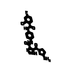 NC1CCN(C(=O)c2[nH]cnc2C(=O)Nc2ccc(NC(=O)c3ccc(F)cc3Cl)cc2)C1